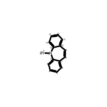 CC(C)N1c2ccccc2C=Cc2ccccc21